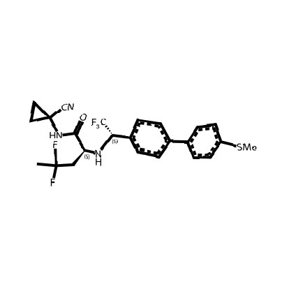 CSc1ccc(-c2ccc([C@H](N[C@@H](CC(C)(F)F)C(=O)NC3(C#N)CC3)C(F)(F)F)cc2)cc1